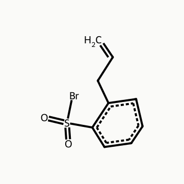 C=CCc1ccccc1S(=O)(=O)Br